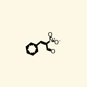 O=C/C(=C\c1ccccc1)[N+](=O)[O-]